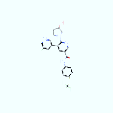 O=C(Nc1ccc(SC(F)(F)F)cc1)c1cnc(N2CCC(O)C2)c(-c2cncc(F)c2)c1